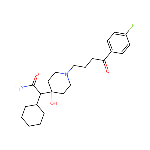 NC(=O)C(C1CCCCC1)C1(O)CCN(CCCC(=O)c2ccc(F)cc2)CC1